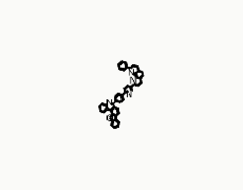 c1ccc(C2=Nc3c(ccc4ccc(-c5ccc(-c6ccc(-c7nc8ccccc8c8c7ccc7c9ccccc9oc78)cc6)nc5)nc34)CC2)cc1